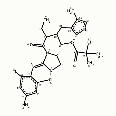 CCC(C(=O)N1CCN/C1=N\c1c(Cl)cc(N)cc1Cl)C(COC(=O)C(C)(C)C)Cc1cncn1C